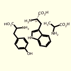 CC(N)C(=O)O.NC(Cc1ccc(O)cc1)C(=O)O.N[C@@H](Cc1c[nH]c2ccccc12)C(=O)O